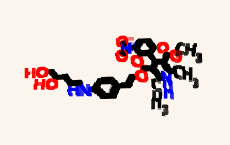 COC(=O)C1=C(C)NC(C)=C(C(=O)OCCc2ccc(NCCCC(O)CO)cc2)C1c1cccc([N+](=O)[O-])c1